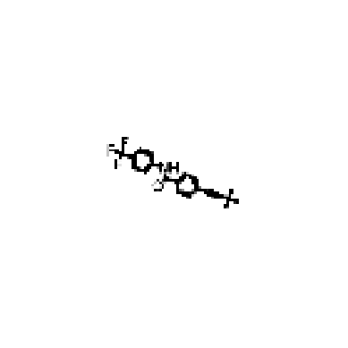 CC(C)(C)C#Cc1ccc(C(=O)Nc2ccc(C(F)(F)F)cc2)cc1